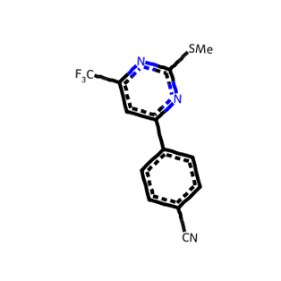 CSc1nc(-c2ccc(C#N)cc2)cc(C(F)(F)F)n1